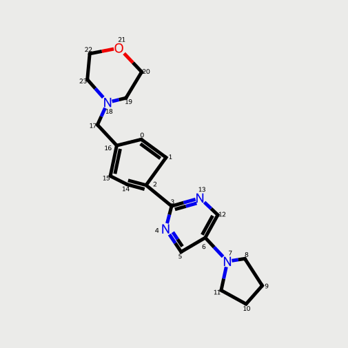 c1cc(-c2ncc(N3CCCC3)cn2)ccc1CN1CCOCC1